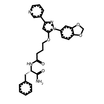 NC(=O)[C@H](Cc1ccccc1)NC(=O)CCCOc1cc(-c2cccnc2)nn1-c1ccc2c(c1)OCO2